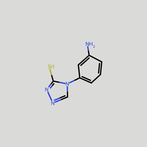 Nc1cccc(-n2cnnc2S)c1